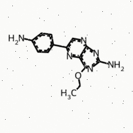 CCOc1nc(N)nc2ncc(-c3ccc(N)cc3)nc12